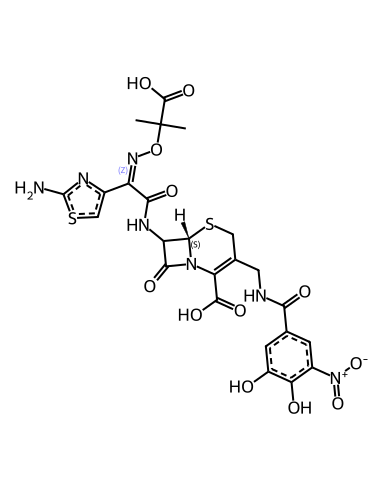 CC(C)(O/N=C(\C(=O)NC1C(=O)N2C(C(=O)O)=C(CNC(=O)c3cc(O)c(O)c([N+](=O)[O-])c3)CS[C@@H]12)c1csc(N)n1)C(=O)O